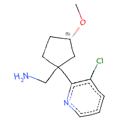 CO[C@H]1CCC(CN)(c2ncccc2Cl)C1